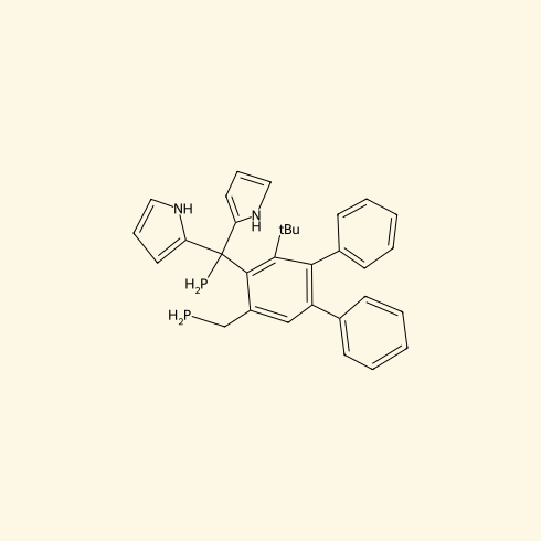 CC(C)(C)c1c(-c2ccccc2)c(-c2ccccc2)cc(CP)c1C(P)(c1ccc[nH]1)c1ccc[nH]1